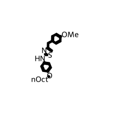 CCCCCCCCOc1ccc(Nc2nc(Cc3ccc(OC)cc3)cs2)cc1